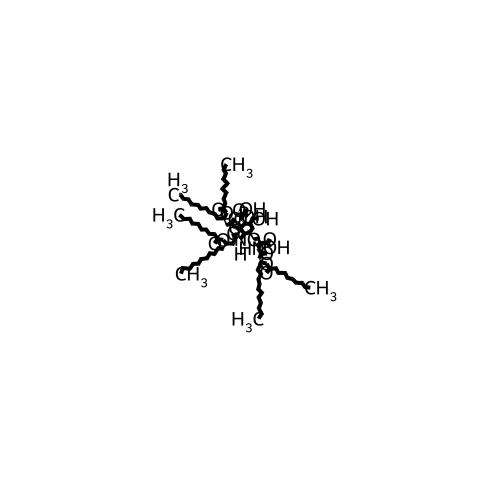 CCCCCCCCCCC[C@H](CC(=O)NC1C(OC(=O)C[C@@H](CCCCCCCCCCC)OC(=O)CCCCCCCCC)[C@H](OP(=O)(O)O)C(CO)C[C@H]1OC[C@H](NC(=O)C[C@@H](CCCCCCCCCCC)OC(=O)CCCCCCCCC)C(=O)O)OC(=O)CCCCCCCCC